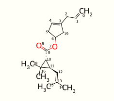 C=CCC1=CCC(OC(=O)[C@@H]2[C@@H](C=C(C)C)C2(C)C)C1